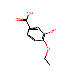 CCOc1ccc(C(=O)O)cc1O